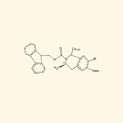 COc1cc2c(cc1Br)C(C(=O)O)N(C(=O)OCC1c3ccccc3-c3ccccc31)[C@H](C)C2